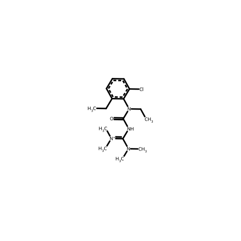 CCc1cccc(Cl)c1N(CC)C(=O)NC(N(C)C)=[N+](C)C